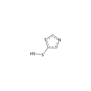 SSc1cncs1